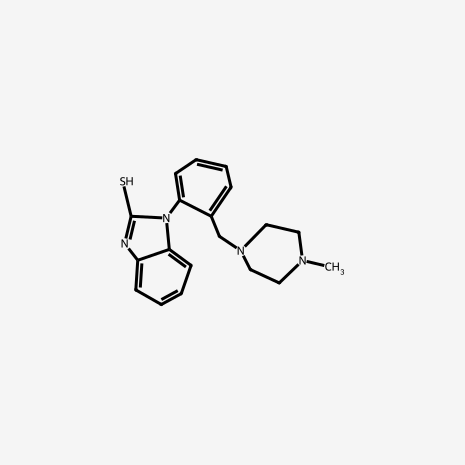 CN1CCN(Cc2ccccc2-n2c(S)nc3ccccc32)CC1